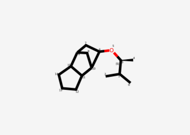 CC(C)[C@H](C)OC1CC2CC1C1CCCC21